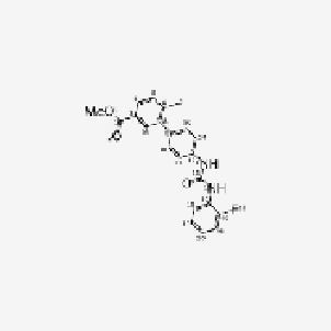 COC(=O)c1ccc(C)c(-c2ccc(NC(=O)Nc3ccccc3F)cc2)c1